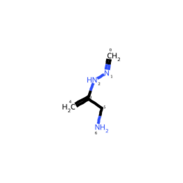 C=NNC(=C)CN